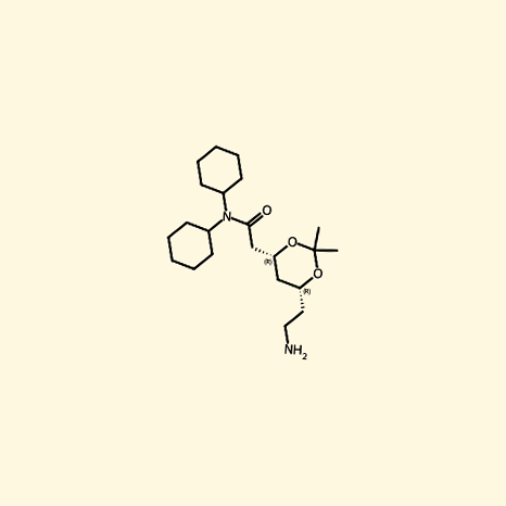 CC1(C)O[C@H](CCN)C[C@H](CC(=O)N(C2CCCCC2)C2CCCCC2)O1